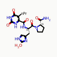 CCCc1c(C(=O)N[C@@H](Cc2c[nH]cn2)C(=O)N2CCC[C@H]2C(N)=O)[nH]c(=O)[nH]c1=O.O